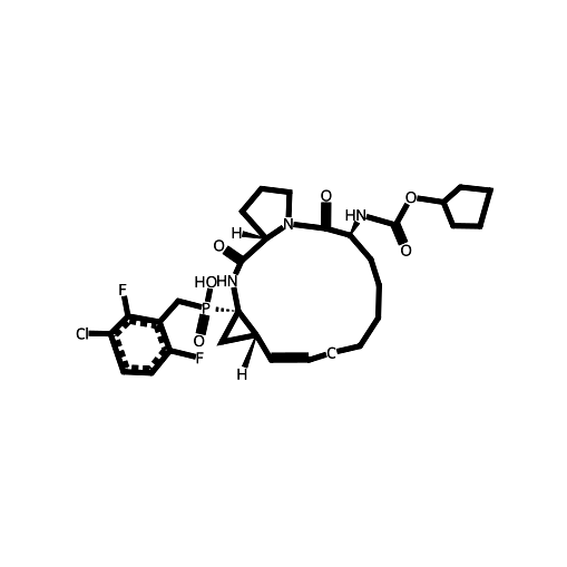 O=C(N[C@H]1CCCCC/C=C\[C@@H]2C[C@@]2(P(=O)(O)Cc2c(F)ccc(Cl)c2F)NC(=O)[C@@H]2CCCN2C1=O)OC1CCCC1